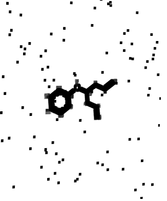 C=CCC(CC=C)Oc1ccccc1